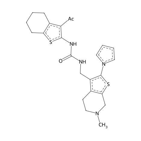 CC(=O)c1c(NC(=O)NCc2c(-n3cccc3)sc3c2CCN(C)C3)sc2c1CCCC2